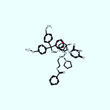 COc1ccc(C(OC[C@]23CO[C@@H](C2OP(SCCSC(=O)c2ccccc2)N2CCCC2)[C@H](n2ccc(=O)[nH]c2=O)O3)(c2ccccc2)c2ccc(OC)cc2)cc1